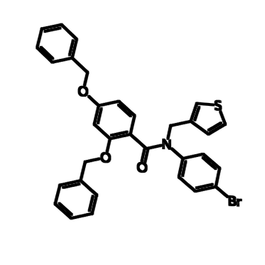 O=C(c1ccc(OCc2ccccc2)cc1OCc1ccccc1)N(Cc1ccsc1)c1ccc(Br)cc1